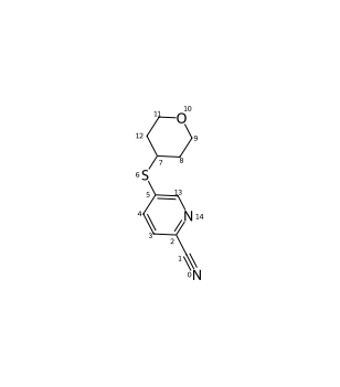 N#Cc1ccc(SC2CCOCC2)cn1